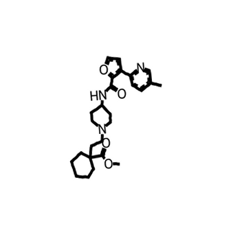 COC(=O)C1(CCN2CCC(NC(=O)c3occc3-c3ccc(C)cn3)CC2)CCCCC1